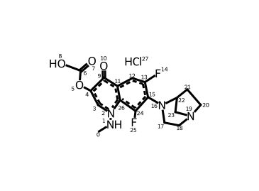 CNn1cc(OC(=O)O)c(=O)c2cc(F)c(N3CCN4CCC3C4)c(F)c21.Cl